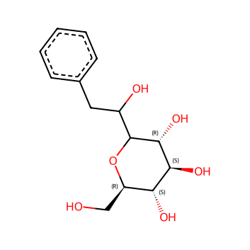 OC[C@H]1OC(C(O)Cc2ccccc2)[C@H](O)[C@@H](O)[C@@H]1O